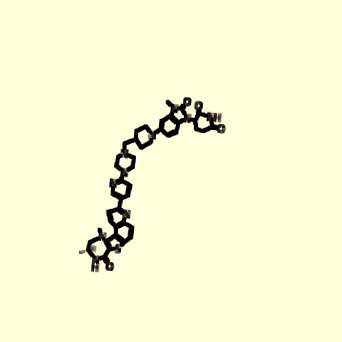 C[C@@H]1CN(C)c2c(sc3ccc4nc(-c5ccc(N6CCN(CC7CCN(c8ccc9c(c8)n(C)c(=O)n9C8CCC(=O)NC8=O)CC7)CC6)nc5)ccc4c23)C(=O)N1